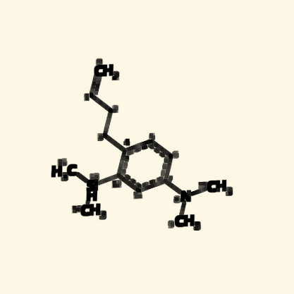 C=CCCc1ccc(N(C)C)cc1[SiH](C)C